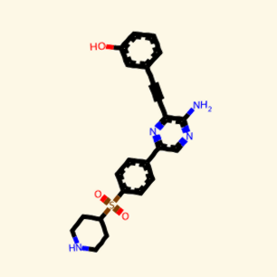 Nc1ncc(-c2ccc(S(=O)(=O)C3CCNCC3)cc2)nc1C#Cc1cccc(O)c1